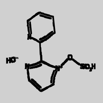 O=S(=O)(O)O[n+]1cccnc1-c1ccccn1.[OH-]